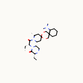 CC(C)C[C@@H]1NCCN([C@@H](CC(C)C)C(=O)N2CCC3(C[C@@H]2C)OCC2(CCCCC2N(C)C)CO3)C1=O